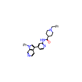 CC(C)CN1CCC(C(=O)Nc2cc(-c3cn(C(C)C)c4cnccc34)ccn2)CC1